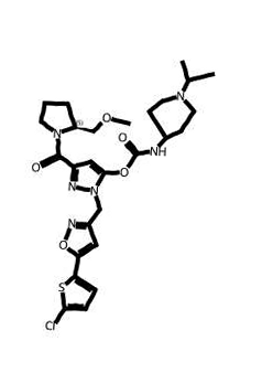 COC[C@@H]1CCCN1C(=O)c1cc(OC(=O)NC2CCN(C(C)C)CC2)n(Cc2cc(-c3ccc(Cl)s3)on2)n1